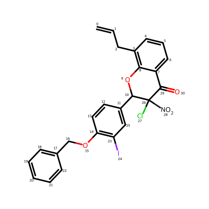 C=CCc1cccc2c1OC(c1ccc(OCc3ccccc3)c(I)c1)C(Cl)([N+](=O)[O-])C2=O